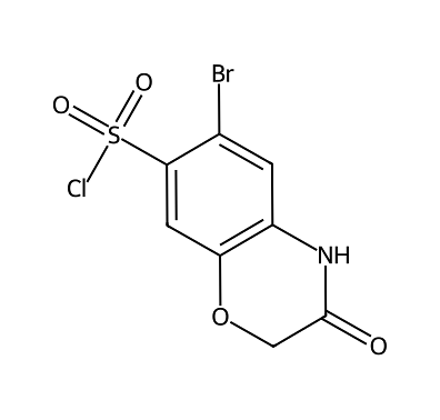 O=C1COc2cc(S(=O)(=O)Cl)c(Br)cc2N1